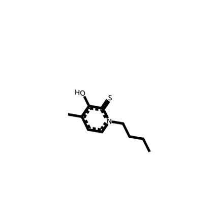 CCCCn1ccc(C)c(O)c1=S